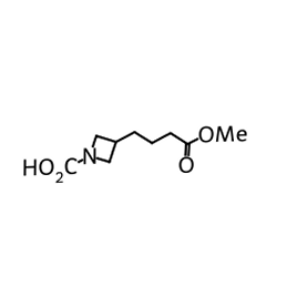 COC(=O)CCCC1CN(C(=O)O)C1